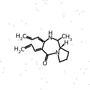 C=C/C=C1/NC(C)[C@@H]2CCCN2C(=O)/C1=C/C=C